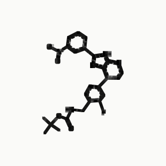 CC(C)(C)OC(=O)NCc1ccc(-c2ccnc3[nH]c(-c4cccc([N+](=O)[O-])c4)nc23)cc1F